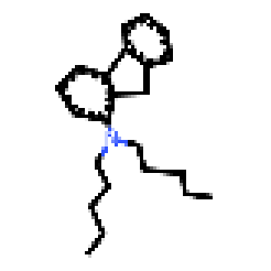 CCCCCN(CCCCC)c1cccc2c1Cc1ccccc1-2